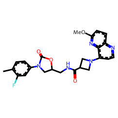 COc1ccc2nccc(N3CC(C(=O)NCC4CN(c5ccc(C)c(F)c5)C(=O)O4)C3)c2n1